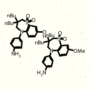 CCCCC1(CCCC)CN(c2ccc(N)cc2)c2ccc(O)cc2S(=O)(=O)C1.CCCCC1(CCCC)CN(c2ccc(N)cc2)c2ccc(OC)cc2S(=O)(=O)C1